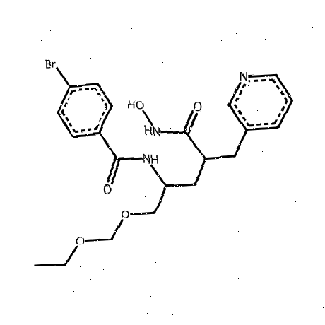 CCOCOCC(CC(Cc1cccnc1)C(=O)NO)NC(=O)c1ccc(Br)cc1